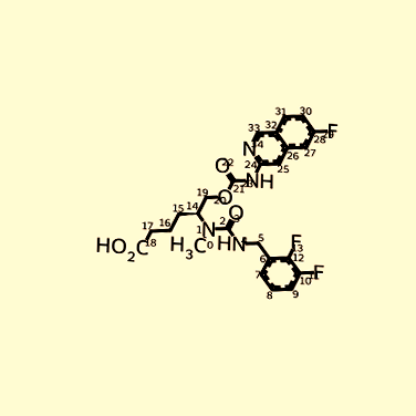 CN(C(=O)NCc1cccc(F)c1F)[C@@H](CCCC(=O)O)COC(=O)Nc1cc2cc(F)ccc2cn1